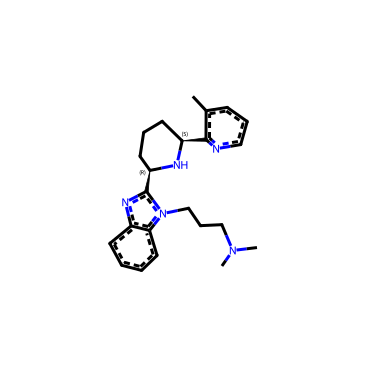 Cc1cccnc1[C@@H]1CCC[C@H](c2nc3ccccc3n2CCCN(C)C)N1